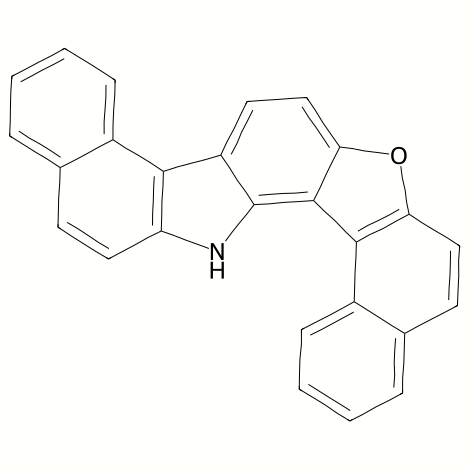 c1ccc2c(c1)ccc1[nH]c3c(ccc4oc5ccc6ccccc6c5c43)c12